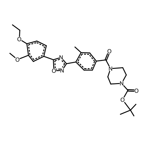 CCOc1ccc(-c2nc(-c3ccc(C(=O)N4CCN(C(=O)OC(C)(C)C)CC4)cc3C)no2)cc1OC